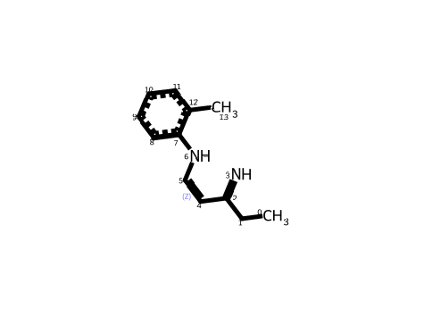 CCC(=N)/C=C\Nc1ccccc1C